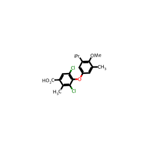 COc1c(C)cc(Oc2c(Cl)cc(C(=O)O)c(C)c2Cl)cc1C(C)C